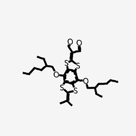 CCCCC(CC)COc1c2c(c(OCC(CC)CCCC)c3c1SC(=C(C=O)C=O)S3)SC(=C(C)C)S2